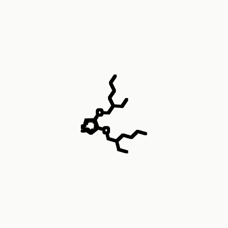 CCCCC(CC)COc1cscc1OCC(CC)CCCC